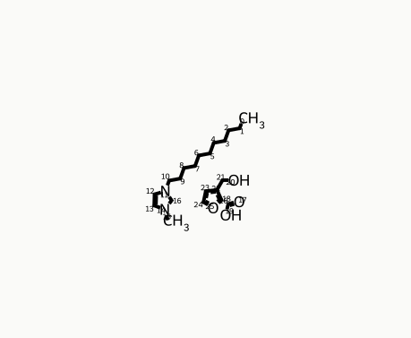 CCCCCCCCCCCN1C=CN(C)C1.O=CO.OCc1ccoc1